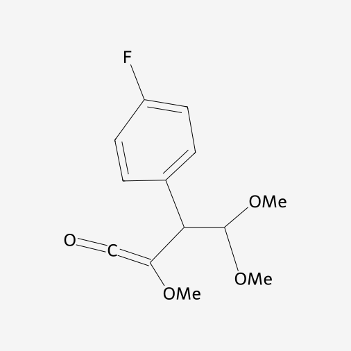 COC(=C=O)C(c1ccc(F)cc1)C(OC)OC